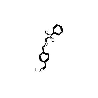 C=Cc1ccc(COCS(=O)(=O)c2ccccc2)cc1